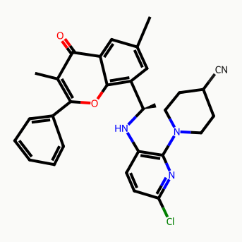 Cc1cc([C@@H](C)Nc2ccc(Cl)nc2N2CCC(C#N)CC2)c2oc(-c3ccccc3)c(C)c(=O)c2c1